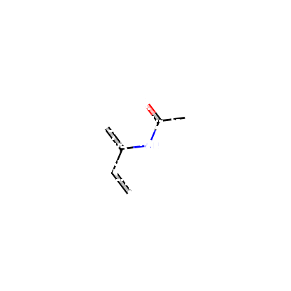 C=CC(=C)NC(C)=O